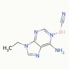 CCn1cnc2c(N)[n+](BC#N)cnc21